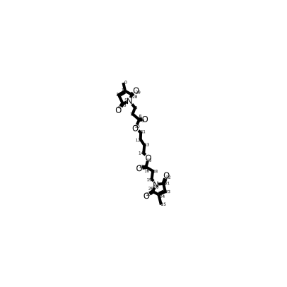 CC1=CC(=O)N(CCC(=O)OCCCCOC(=O)CCN2C(=O)C=C(C)C2=O)C1=O